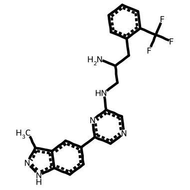 Cc1n[nH]c2ccc(-c3cncc(NCC(N)Cc4ccccc4C(F)(F)F)n3)cc12